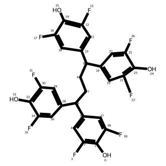 Oc1c(F)cc(C(CCC(c2cc(F)c(O)c(F)c2)c2cc(F)c(O)c(F)c2)c2cc(F)c(O)c(F)c2)cc1F